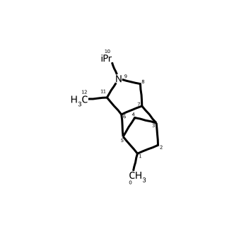 CC1CC2CC1C1C2CN(C(C)C)C1C